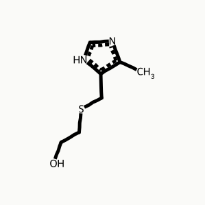 Cc1nc[nH]c1CSCCO